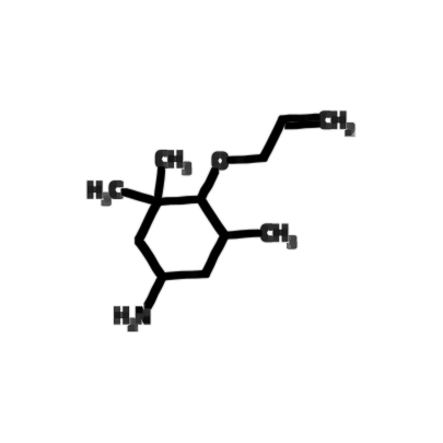 C=CCOC1C(C)CC(N)CC1(C)C